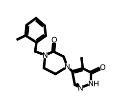 Cc1ccccc1CN1CCN(c2cn[nH]c(=O)c2C)CC1=O